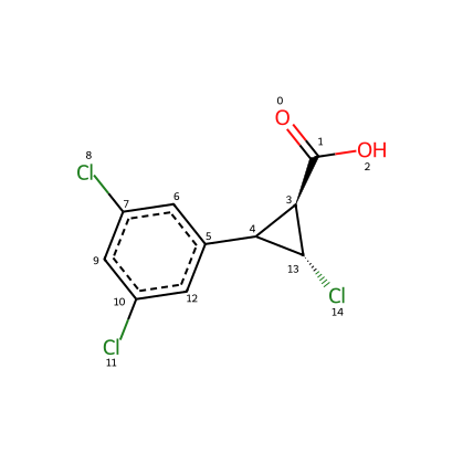 O=C(O)[C@@H]1C(c2cc(Cl)cc(Cl)c2)[C@H]1Cl